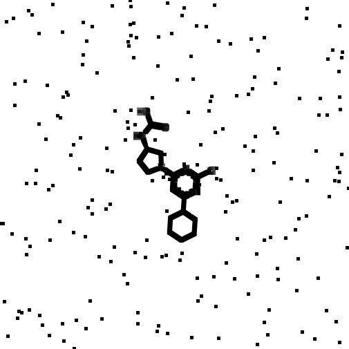 O=C(O)N[C@@H]1CCN(c2cc(C3CCCCC3)nc(Cl)n2)C1